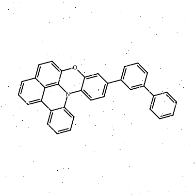 c1ccc(-c2cccc(-c3ccc4c(c3)oc3ccc5cccc6c7ccccc7n4-c3c56)c2)cc1